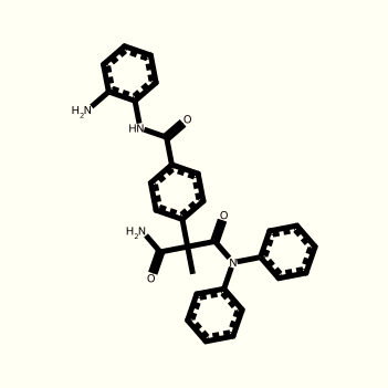 CC(C(N)=O)(C(=O)N(c1ccccc1)c1ccccc1)c1ccc(C(=O)Nc2ccccc2N)cc1